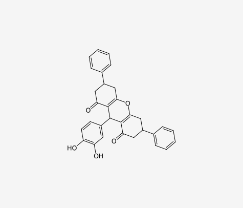 O=C1CC(c2ccccc2)CC2=C1C(c1ccc(O)c(O)c1)C1=C(CC(c3ccccc3)CC1=O)O2